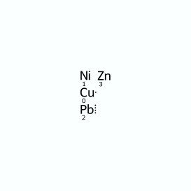 [Cu].[Ni].[Pb].[Zn]